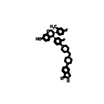 Cc1cc(F)ccc1[C@H]1COc2cc(O)ccc2[C@H]1c1ccc(N2CCC(CN3CCN(c4ccc5c(c4)CNC5=O)CC3)CC2)c(F)c1